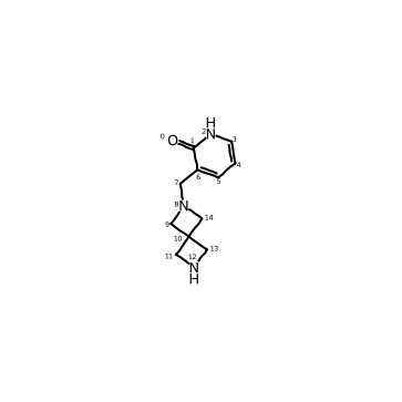 O=c1[nH]cccc1CN1CC2(CNC2)C1